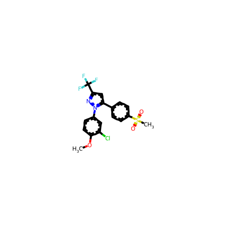 COc1ccc(-n2nc(C(F)(F)F)cc2-c2ccc(S(C)(=O)=O)cc2)cc1Cl